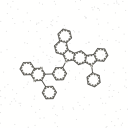 c1ccc(-c2nc3ccccc3nc2-c2cccc(-n3c4cc5c(cc4c4c6ccccc6ccc43)c3ccccc3n5-c3ccccc3)c2)cc1